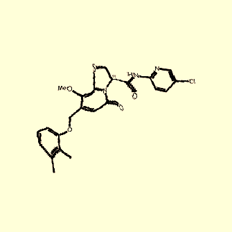 COc1c(COc2cccc(C)c2C)cc(=O)n2c1SC[C@H]2C(=O)Nc1ccc(Cl)cn1